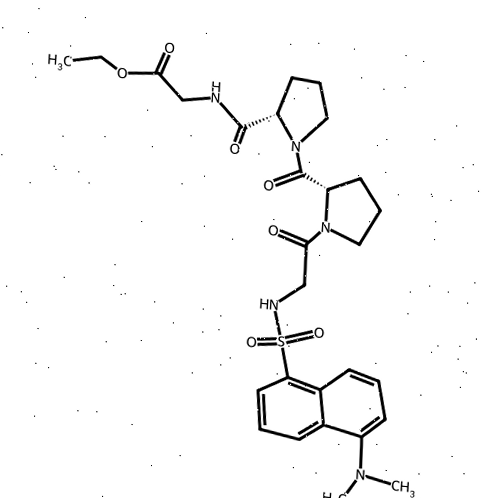 CCOC(=O)CNC(=O)[C@@H]1CCCN1C(=O)[C@@H]1CCCN1C(=O)CNS(=O)(=O)c1cccc2c(N(C)C)cccc12